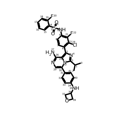 CC(C)c1nc(-c2ccc(NS(=O)(=O)c3ccccc3F)c(F)c2Cl)c2c(N)ncc(-c3ccc(NC4COC4)cc3)n12